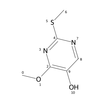 COc1nc(SC)ncc1O